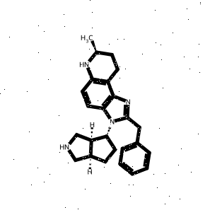 C[C@H]1CCc2c(ccc3c2nc(Cc2ccccc2)n3[C@@H]2CC[C@H]3CNC[C@H]32)N1